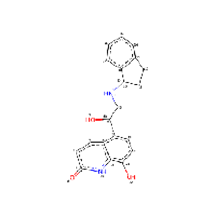 O=c1ccc2c([C@@H](O)CN[C@H]3CCc4ccccc43)ccc(O)c2[nH]1